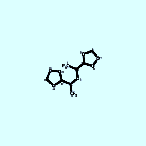 FC(F)(F)C(OC(C1OCOO1)C(F)(F)F)C1OCOO1